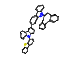 c1ccc2c(c1)cc(-n1c3ccccc3c3ccc(-c4ccc5c(c4)c4ccccc4n5-c4cccc5c4sc4ccccc45)cc31)c1ccccc12